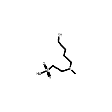 CN(CCCCS)CCS(=O)(=O)O